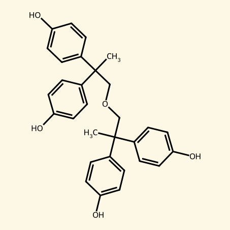 CC(COCC(C)(c1ccc(O)cc1)c1ccc(O)cc1)(c1ccc(O)cc1)c1ccc(O)cc1